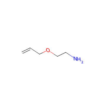 C=CCOCCN